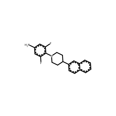 Nc1cc(F)c(N2CCC(c3ccc4ccccc4c3)CC2)c(F)c1